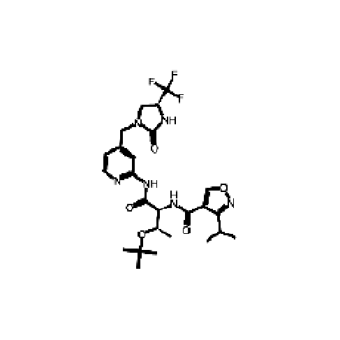 CC(C)c1nocc1C(=O)N[C@H](C(=O)Nc1cc(CN2C[C@@H](C(F)(F)F)NC2=O)ccn1)[C@@H](C)OC(C)(C)C